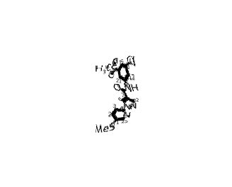 CSc1ccc(-n2cc(C(=O)Nc3cc(Cl)cc(S(C)(=O)=O)c3)cn2)nc1